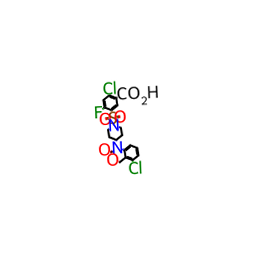 O=C(O)c1cc(S(=O)(=O)N2CCC(N3C(=O)OCc4c(Cl)cccc43)CC2)c(F)cc1Cl